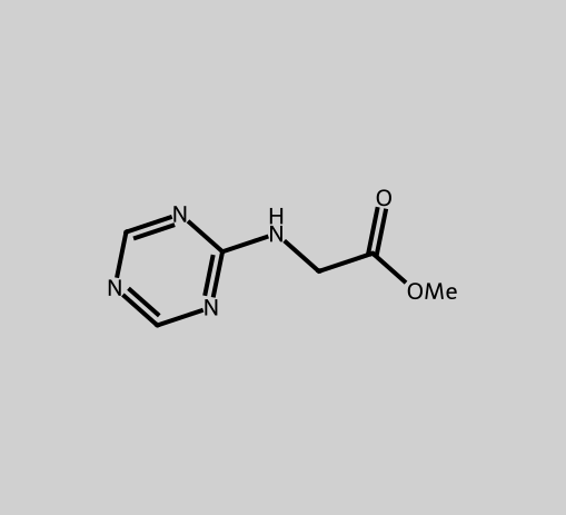 COC(=O)CNc1ncncn1